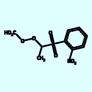 CC(OOC(=O)O)S(=O)(=O)c1ccccc1[N+](=O)[O-]